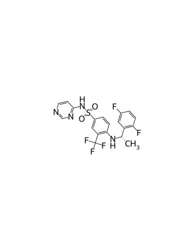 C[C@H](Nc1ccc(S(=O)(=O)Nc2ccncn2)cc1C(F)(F)F)c1cc(F)ccc1F